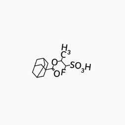 CC(OC(=O)C12CC3CC(CC(C3)C1)C2)C(F)S(=O)(=O)O